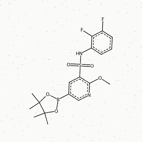 COc1ncc(B2OC(C)(C)C(C)(C)O2)cc1S(=O)(=O)Nc1cccc(F)c1F